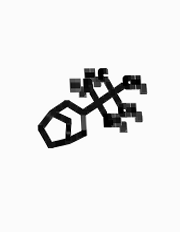 BC(B)(C1CC2CCC(C2)C1)C(C)(C)C